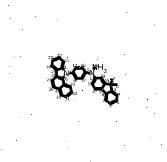 CC1(C)c2ccccc2-c2ccc(N(N)c3ccc(-n4c5ccccc5c5ccc6ccccc6c54)cc3)cc21